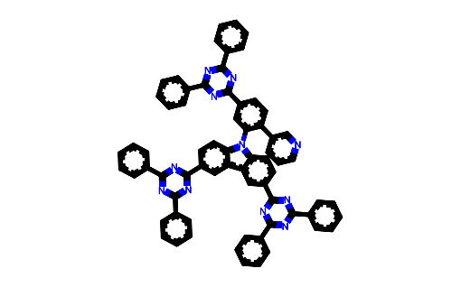 c1ccc(-c2nc(-c3ccccc3)nc(-c3ccc(-c4cccnc4)c(-n4c5ccc(-c6nc(-c7ccccc7)nc(-c7ccccc7)n6)cc5c5cc(-c6nc(-c7ccccc7)nc(-c7ccccc7)n6)ccc54)c3)n2)cc1